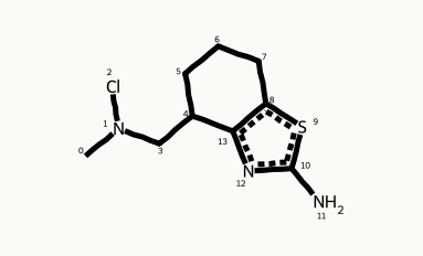 CN(Cl)CC1CCCc2sc(N)nc21